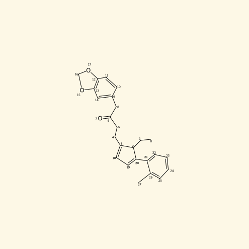 CCC1C(CCC(=O)Cc2ccc3c(c2)OCO3)=CC=C1c1ccccc1C